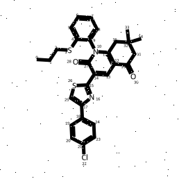 CCCSc1ccccc1-n1c2c(cc(-c3nc(-c4ccc(Cl)cc4)cs3)c1=O)C(=O)CC(C)(C)C2